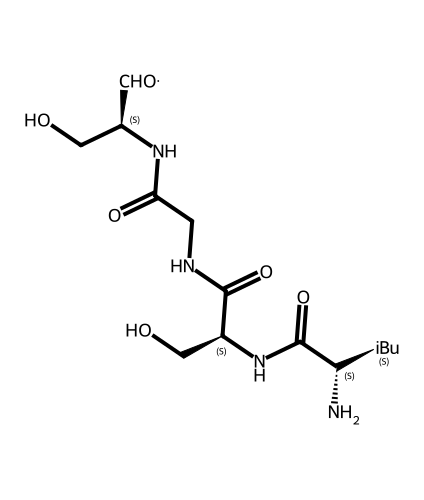 CC[C@H](C)[C@H](N)C(=O)N[C@@H](CO)C(=O)NCC(=O)N[C@H]([C]=O)CO